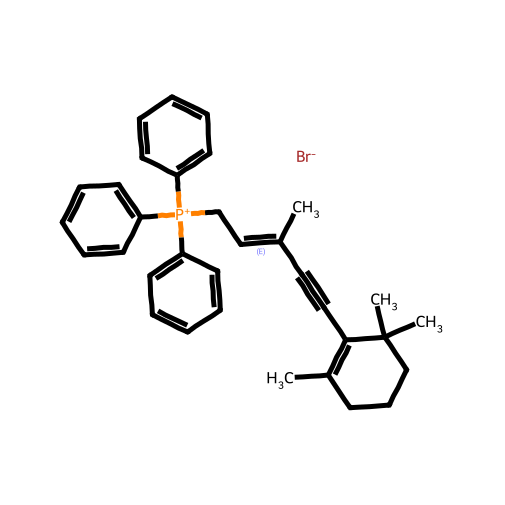 CC1=C(C#C/C(C)=C/C[P+](c2ccccc2)(c2ccccc2)c2ccccc2)C(C)(C)CCC1.[Br-]